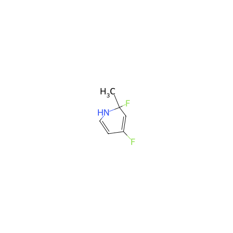 CC1(F)C=C(F)C=CN1